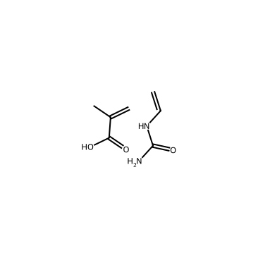 C=C(C)C(=O)O.C=CNC(N)=O